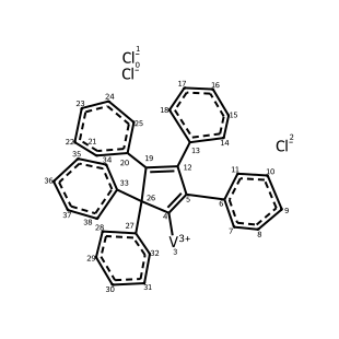 [Cl-].[Cl-].[Cl-].[V+3][C]1=C(c2ccccc2)C(c2ccccc2)=C(c2ccccc2)C1(c1ccccc1)c1ccccc1